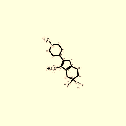 CN1CCC(c2sc3c(c2C(=O)O)CC(C)(C)CC3)CC1